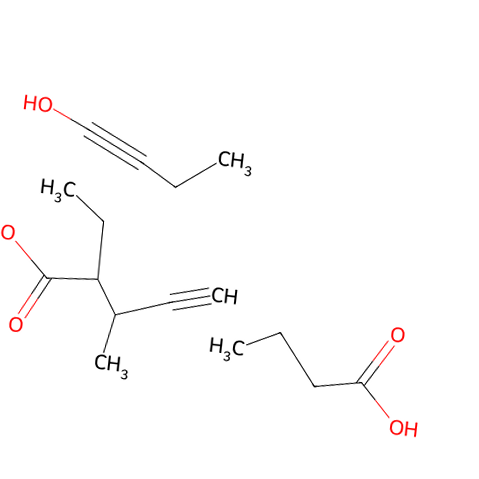 C#CC(C)C(CC)C(=O)O.CCC#CO.CCCC(=O)O